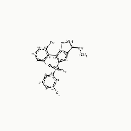 CNC1NCc2c1cn(S(=O)(=O)c1cccc(Cl)c1)c2-c1ccccc1F